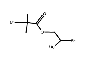 CCC(O)COC(=O)C(C)(C)Br